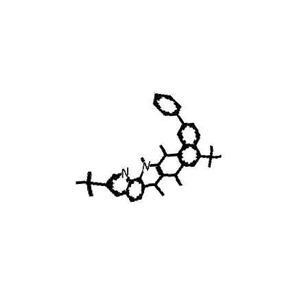 CC1C2=C(C(C)c3c1cc(C(C)(C)C)c1ccc(-c4ccccc4)cc31)N(C)c1c(ccc3cc(C(C)(C)C)cnc13)C2C